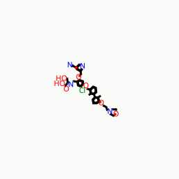 Cc1c(COc2cc(OCc3cncc(C#N)c3)c(C/N=C(\CO)C(=O)O)cc2Cl)cccc1-c1cccc(OCCCN2CCOCC2)c1C